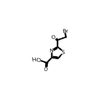 O=C(O)c1csc(C(=O)CBr)n1